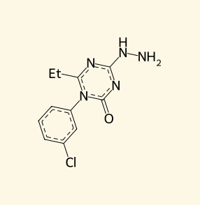 CCc1nc(NN)nc(=O)n1-c1cccc(Cl)c1